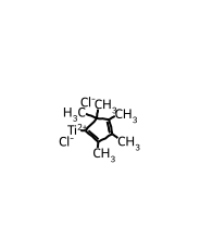 CC1=C(C)C(C)(C)[C]([Ti+2])=C1C.[Cl-].[Cl-]